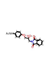 CC(=O)Nc1ccc(OCC(O)CN2C(=O)c3ccccc3C2=O)cc1